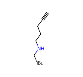 C#CCCCNCC(C)CC